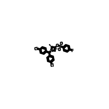 C[C@@H]1[C@@H](OS(=O)(=O)c2ccc(F)cc2)CN1C(c1ccc(Cl)cc1)c1ccc(Cl)cc1